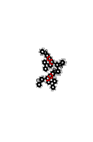 c1ccc(-c2ccccc2-c2c(-c3ccccc3)cccc2N(c2ccc(-c3ccc4oc5ccccc5c4c3)cc2)c2ccc3oc4c(-c5cc(-c6ccc(N(c7ccc8sc9ccccc9c8c7)c7cccc(-c8ccccc8)c7-c7ccccc7-c7ccccc7)cc6)cc6c5oc5ccccc56)cccc4c3c2)cc1